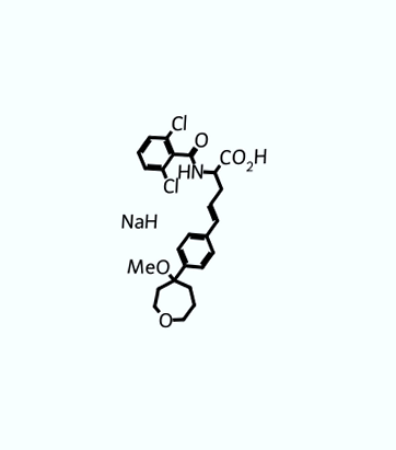 COC1(c2ccc(/C=C/CC(NC(=O)c3c(Cl)cccc3Cl)C(=O)O)cc2)CCCOCC1.[NaH]